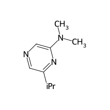 CC(C)c1cncc(N(C)C)n1